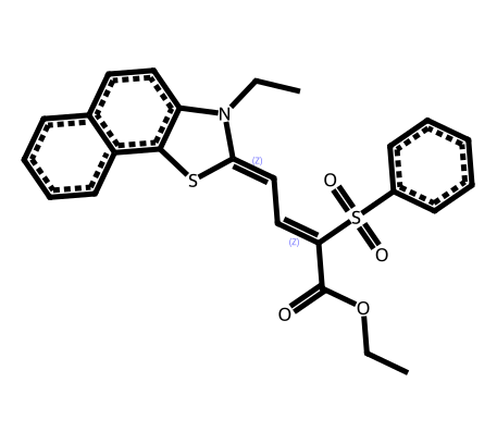 CCOC(=O)/C(=C/C=C1\Sc2c(ccc3ccccc23)N1CC)S(=O)(=O)c1ccccc1